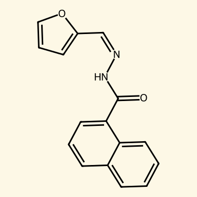 O=C(N/N=C\c1ccco1)c1cccc2ccccc12